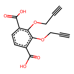 C#CCOc1c(C(=O)O)ccc(C(=O)O)c1OCC#C